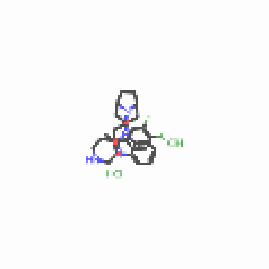 Cc1nc2ccccc2n1C1CC2CCC(C1)N2CCC1(c2ccc(Cl)c(F)c2)CCNCC1.Cl.Cl